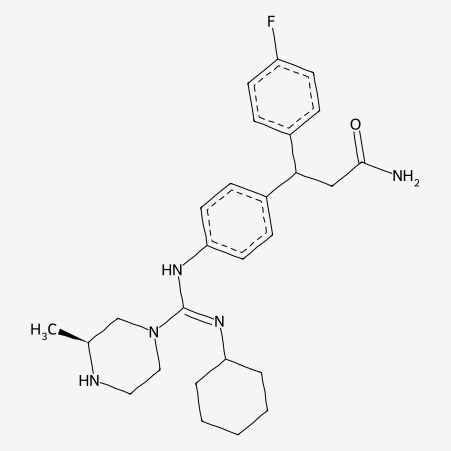 C[C@H]1CN(/C(=N\C2CCCCC2)Nc2ccc(C(CC(N)=O)c3ccc(F)cc3)cc2)CCN1